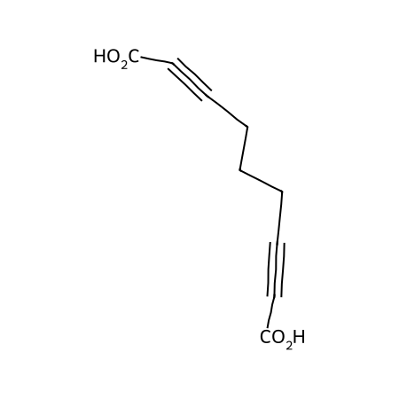 O=C(O)C#CCCCC#CC(=O)O